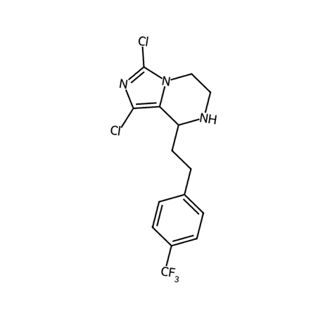 FC(F)(F)c1ccc(CCC2NCCn3c(Cl)nc(Cl)c32)cc1